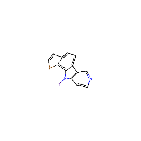 In1c2ccncc2c2ccc3ccsc3c21